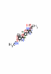 CNCCOc1cc2nccc(Oc3c(F)cc(-c4nccc(OCC(C)O)c4C(N)=O)cc3F)c2cc1OC